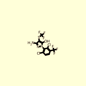 Nc1nn(-c2c(Cl)ccc(C(F)(F)F)c2Cl)c(O)c1SC(F)(F)F